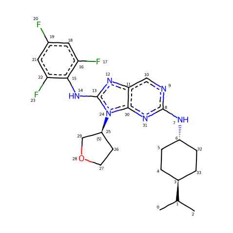 CC(C)[C@H]1CC[C@H](Nc2ncc3nc(Nc4c(F)cc(F)cc4F)n([C@H]4CCOC4)c3n2)CC1